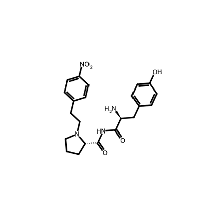 N[C@@H](Cc1ccc(O)cc1)C(=O)NC(=O)[C@@H]1CCCN1CCc1ccc([N+](=O)[O-])cc1